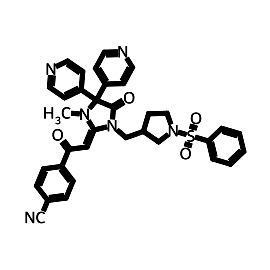 CN1C(=CC(=O)c2ccc(C#N)cc2)N(CC2CCN(S(=O)(=O)c3ccccc3)C2)C(=O)C1(c1ccncc1)c1ccncc1